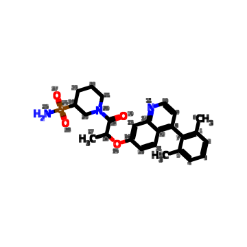 Cc1cccc(C)c1-c1ccnc2cc(OC(C)C(=O)N3CCCC(S(N)(=O)=O)C3)ccc12